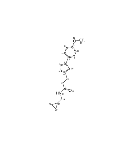 O=C(CCc1ccc(-c2ccc(OC(F)(F)F)cc2)s1)NCC1CC1